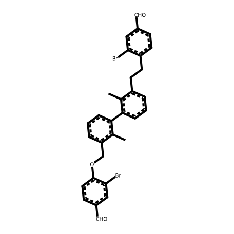 Cc1c(CCc2ccc(C=O)cc2Br)cccc1-c1cccc(COc2ccc(C=O)cc2Br)c1C